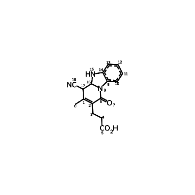 CC1=C(CCC(=O)O)C(=O)N2c3ccccc3NC2C1C#N